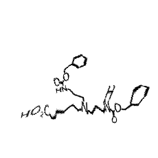 O=C(O)CCCCCN(CCCNC(=O)OCc1ccccc1)CCCNC(=O)OCc1ccccc1